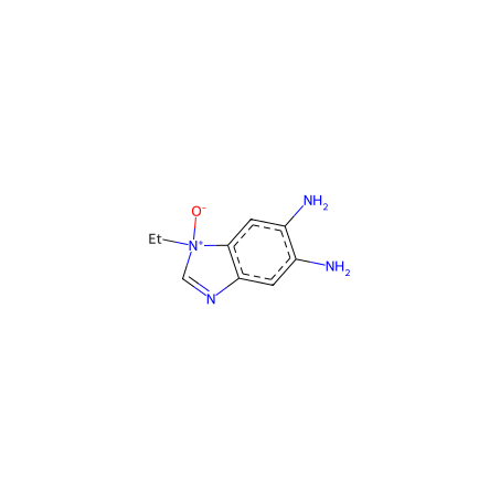 CC[N+]1([O-])C=Nc2cc(N)c(N)cc21